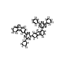 c1ccc(-c2nc(-c3ccc4c(c3)sc3c(-c5nc(-c6ccccc6)nc(-c6ccccc6)n5)cccc34)nc(-c3ccc4oc5ccccc5c4c3)n2)cc1